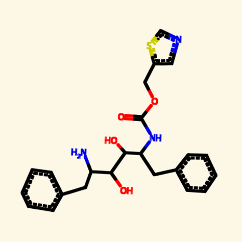 NC(Cc1ccccc1)C(O)C(O)C(Cc1ccccc1)NC(=O)OCc1cncs1